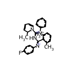 Cc1cccc(C)c1/C(=N/c1ccc(F)cc1)N/C(=N/c1ccccc1)N1C=CC=CC1C